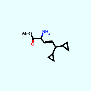 COC(=O)C(N)C=CC(C1CC1)C1CC1